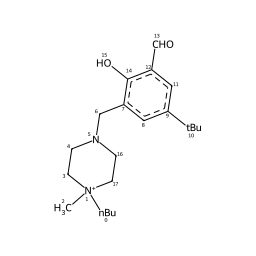 CCCC[N+]1(C)CCN(Cc2cc(C(C)(C)C)cc(C=O)c2O)CC1